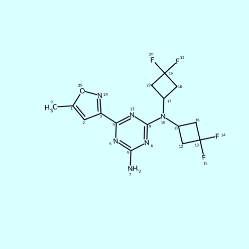 Cc1cc(-c2nc(N)nc(N(C3CC(F)(F)C3)C3CC(F)(F)C3)n2)no1